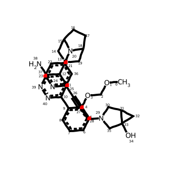 COCOc1ccccc1-c1cc(N2CC3CCC(C2)N3c2ccnc(C#CCN3CC4CC4(O)C3)c2)c(N)nn1